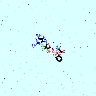 CNc1nc(N)nc2c1ncn2[C@@H]1O[C@H](CO[P@@](=O)(N[C@@H](C)C(=O)O)Oc2ccccc2)[C@@H](O)C1(Cl)Cl